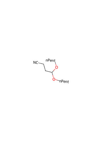 CCCCCOC(CCC#N)OCCCCC